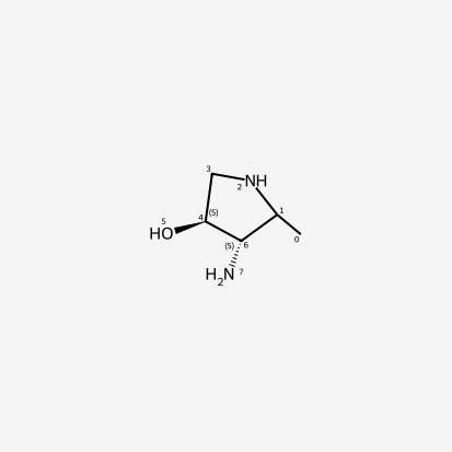 CC1NC[C@H](O)[C@H]1N